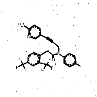 Nc1ccc(C#CCN(C(=O)Cc2ccc(C(F)(F)F)cc2C(F)(F)F)c2ccc(F)cc2)cn1